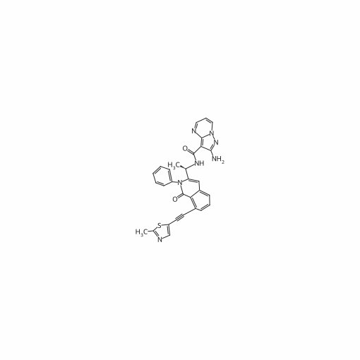 Cc1ncc(C#Cc2cccc3cc([C@@H](C)NC(=O)c4c(N)nn5cccnc45)n(-c4ccccc4)c(=O)c23)s1